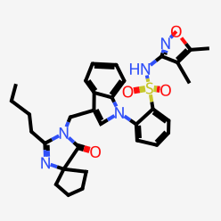 CCCCC1=NC2(CCCC2)C(=O)N1Cc1cn(-c2ccccc2S(=O)(=O)Nc2noc(C)c2C)c2ccccc12